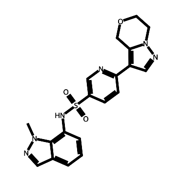 Cn1ncc2cccc(NS(=O)(=O)c3ccc(-c4cnn5c4COCC5)nc3)c21